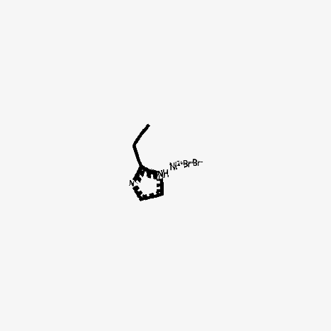 CCc1ncc[nH]1.[Br-].[Br-].[Ni+2]